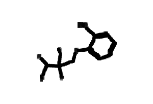 Oc1ccccc1SCC(F)(F)C(F)F